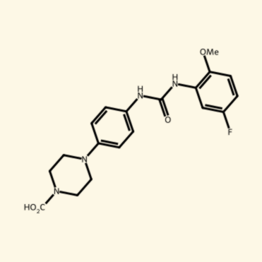 COc1ccc(F)cc1NC(=O)Nc1ccc(N2CCN(C(=O)O)CC2)cc1